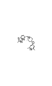 Cc1cc(O[C@@H]2CCN(Cc3ccc4sc(C)nc4n3)[C@@H](C)C2)cc(C)n1